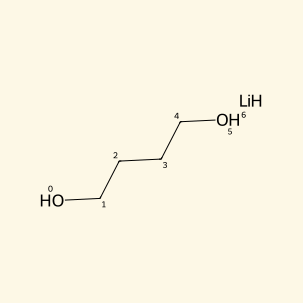 OCCCCO.[LiH]